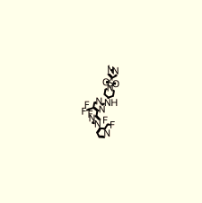 Cn1cc(S(=O)(=O)N2CCC(Nc3ncc(C(F)(F)F)c(-c4cn(-c5cccnc5C(F)F)cn4)n3)CC2)cn1